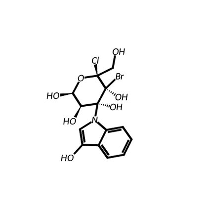 OC[C@@]1(Cl)O[C@H](O)[C@H](O)[C@](O)(n2cc(O)c3ccccc32)[C@]1(O)Br